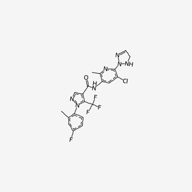 Cc1cc(F)ccc1-n1ncc(C(=O)Nc2cc(Cl)c(N3N=CCN3)nc2C)c1C(F)(F)F